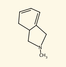 CN1CC2=CC=CCC2C1